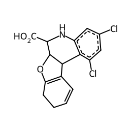 O=C(O)C1Nc2cc(Cl)cc(Cl)c2C2C3=C(CCC=C3)OC12